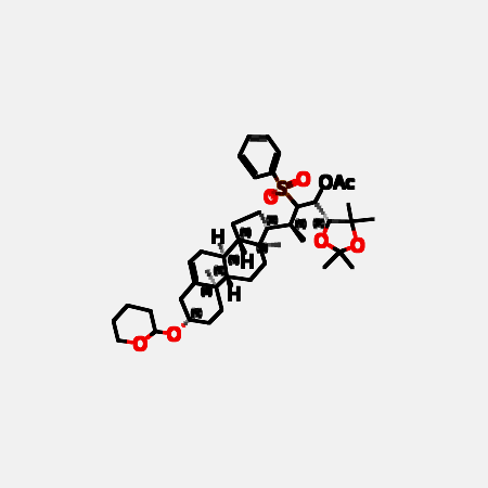 CC(=O)OC(C([C@@H](C)[C@H]1CC[C@H]2[C@@H]3CC=C4C[C@@H](OC5CCCCO5)CC[C@]4(C)[C@H]3CC[C@]12C)S(=O)(=O)c1ccccc1)[C@H]1OC(C)(C)OC1(C)C